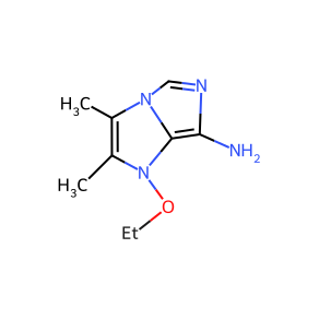 CCOn1c(C)c(C)n2cnc(N)c12